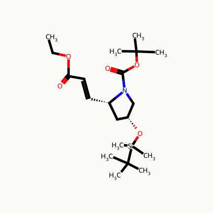 CCOC(=O)C=C[C@H]1C[C@@H](O[Si](C)(C)C(C)(C)C)CN1C(=O)OC(C)(C)C